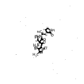 CCn1nc(C)c(Br)c1C(=O)[C@](N)(CC(C)C)C(=O)N[C@H](C#N)C[C@@H]1CCNC1=O